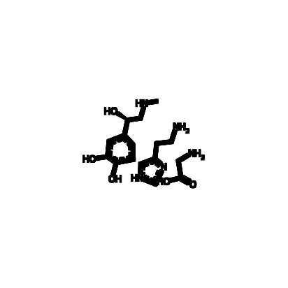 CNC[C@H](O)c1ccc(O)c(O)c1.NCC(=O)O.NCCc1c[nH]cn1